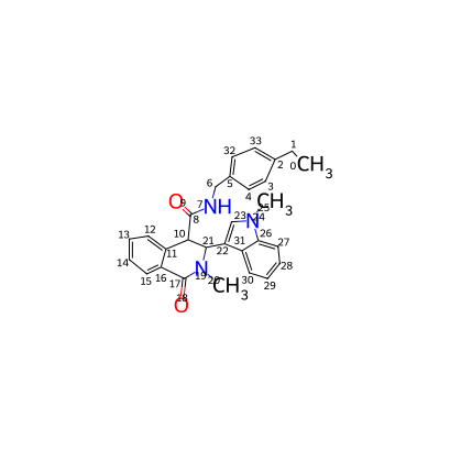 CCc1ccc(CNC(=O)C2c3ccccc3C(=O)N(C)C2c2cn(C)c3ccccc23)cc1